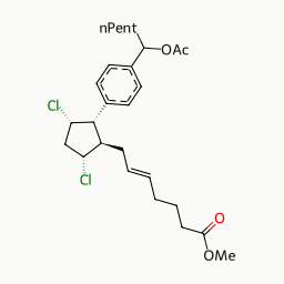 CCCCCC(OC(C)=O)c1ccc([C@@H]2[C@@H](CC=CCCCC(=O)OC)[C@H](Cl)C[C@@H]2Cl)cc1